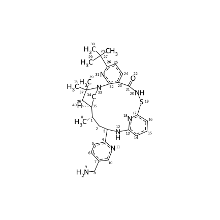 C[C@H]1CC(c2ccc(CN)cn2)Nc2cccc(n2)SNC(=O)c2ccc(C(C)(C)C)nc2N2C[C@@H]1CC2(C)C